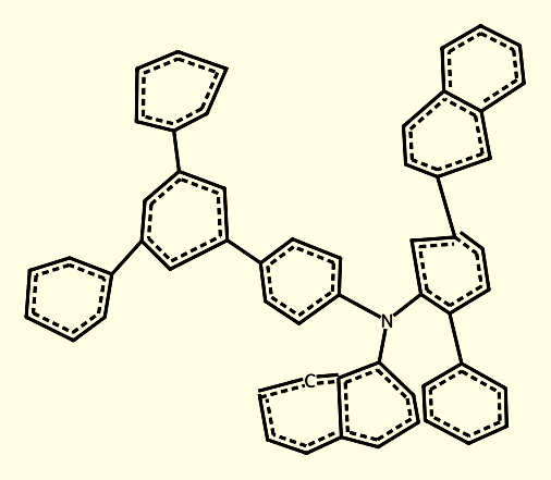 c1ccc(-c2cc(-c3ccccc3)cc(-c3ccc(N(c4cc(-c5ccc6ccccc6c5)ccc4-c4ccccc4)c4cccc5ccccc45)cc3)c2)cc1